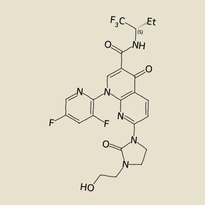 CC[C@H](NC(=O)c1cn(-c2ncc(F)cc2F)c2nc(N3CCN(CCO)C3=O)ccc2c1=O)C(F)(F)F